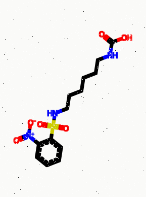 O=C(O)NCCCCCCNS(=O)(=O)c1ccccc1[N+](=O)[O-]